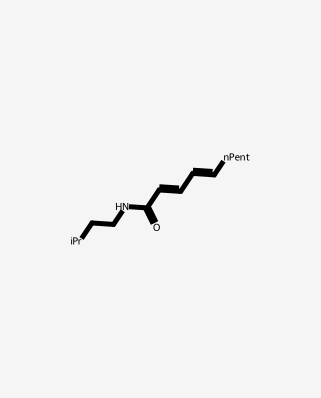 CCCCCC=CC=CC(=O)NCCC(C)C